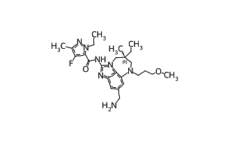 CCn1nc(C)c(F)c1C(=O)Nc1nc2cc(CN)cc3c2n1C[C@](C)(CC)CN3CCCOC